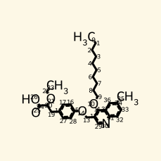 CCCCCCCCCCOc1c(COc2ccc(CC(OCC)C(=O)O)cc2)cnc2ccc(C)cc12